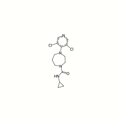 O=C(NC1CC1)N1CCCN(c2c(Cl)cncc2Cl)CC1